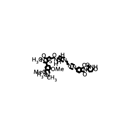 COc1cc(-c2cn(C)c(=O)c3cc(C(=O)NC4C[C@@H]5CN(CCN6CCN(c7ccc8c(c7)C(=O)N(C7CCC(=O)NC7=O)C8=O)CC6)C[C@H]45)sc23)cc(OC)c1CN(C)C